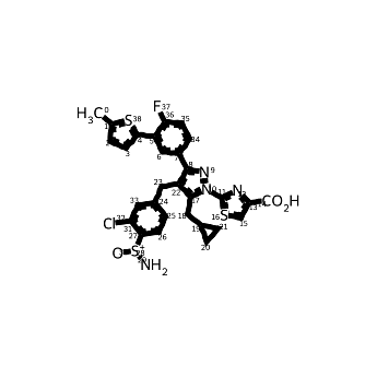 Cc1ccc(-c2cc(-c3nn(-c4nc(C(=O)O)cs4)c(CC4CC4)c3Cc3ccc([S+](N)[O-])c(Cl)c3)ccc2F)s1